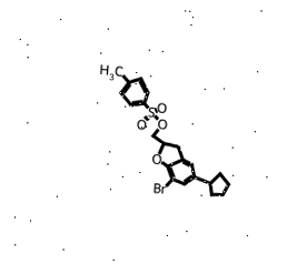 Cc1ccc(S(=O)(=O)OCC2Cc3cc(C4CCCC4)cc(Br)c3O2)cc1